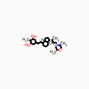 C=C1[C@H](O)CC(=CC=C2CCC[C@]3(C)[C@@H](C(C)CCN4C[C@@H](C)OC[C@H]4C)CC[C@@H]23)C[C@H]1O